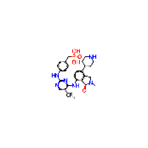 CN1Cc2c(C3=CCNCC3)ccc(Nc3nc(Nc4ccc(CP(=O)(O)O)cc4)ncc3C(F)(F)F)c2C1=O